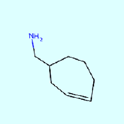 NCC1CC=CCCC1